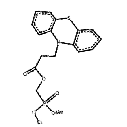 CCOP(=O)(COC(=O)CCN1c2ccccc2Sc2ccccc21)OC